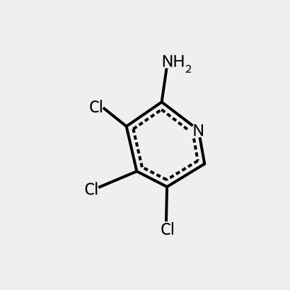 Nc1ncc(Cl)c(Cl)c1Cl